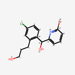 OCCCc1cc(Cl)ccc1C(O)c1cccc(Br)n1